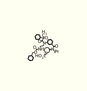 CC(C)N(C(=O)c1ccc2c(c1)N(CCNC(=O)OCc1ccccc1)C(=O)C(C)(c1ccccc1)O2)[C@@H]1CCCN(C(=O)O)C1